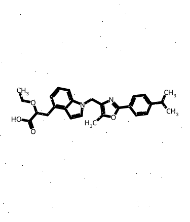 CCOC(Cc1cccc2c1ccn2Cc1nc(-c2ccc(C(C)C)cc2)oc1C)C(=O)O